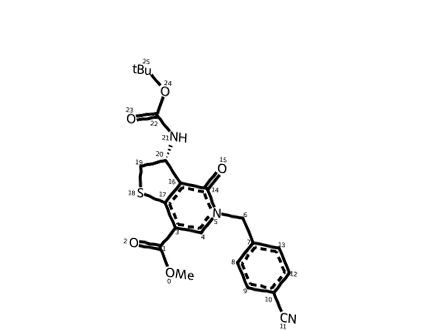 COC(=O)c1cn(Cc2ccc(C#N)cc2)c(=O)c2c1SC[C@@H]2NC(=O)OC(C)(C)C